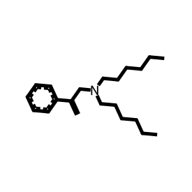 C=C(CN(CCCCCC)CCCCCC)c1ccccc1